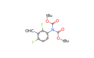 CC(C)(C)OC(=O)N(C(=O)OC(C)(C)C)c1ccc(F)c(C=O)c1F